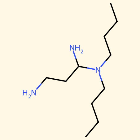 CCCCN(CCCC)C(N)CCN